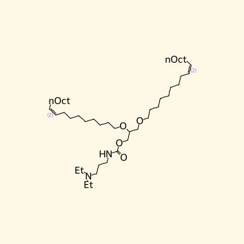 CCCCCCCC/C=C\CCCCCCCCOCC(COC(=O)NCCCN(CC)CC)OCCCCCCCC/C=C\CCCCCCCC